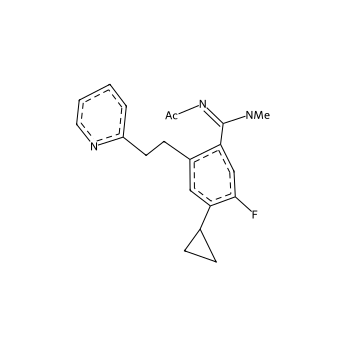 CN/C(=N/C(C)=O)c1cc(F)c(C2CC2)cc1CCc1ccccn1